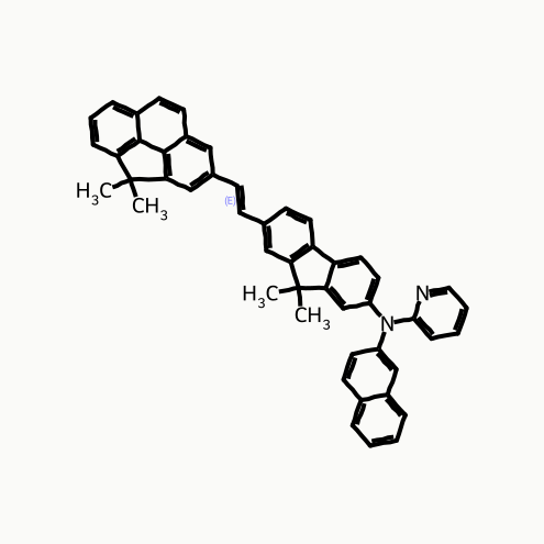 CC1(C)c2cc(/C=C/c3cc4c5c(ccc6cccc(c65)C4(C)C)c3)ccc2-c2ccc(N(c3ccc4ccccc4c3)c3ccccn3)cc21